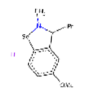 COc1ccc2c(c1)C(C(C)C)N(C)[Se]2.I